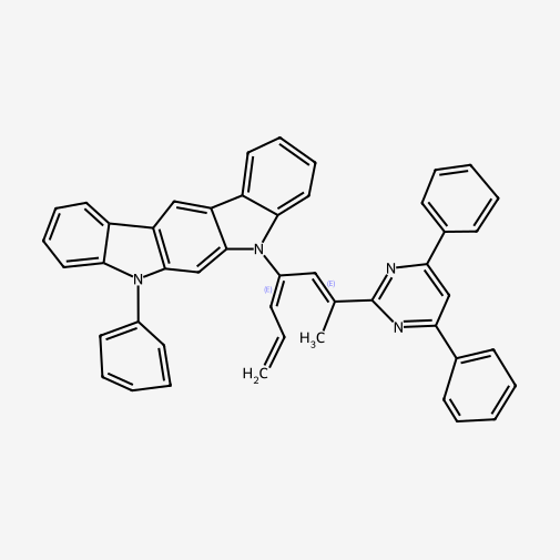 C=C/C=C(\C=C(/C)c1nc(-c2ccccc2)cc(-c2ccccc2)n1)n1c2ccccc2c2cc3c4ccccc4n(-c4ccccc4)c3cc21